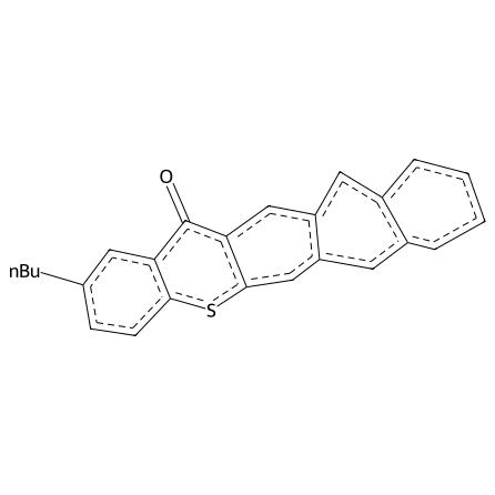 CCCCc1ccc2sc3cc4cc5ccccc5cc4cc3c(=O)c2c1